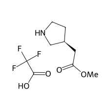 COC(=O)C[C@@H]1CCNC1.O=C(O)C(F)(F)F